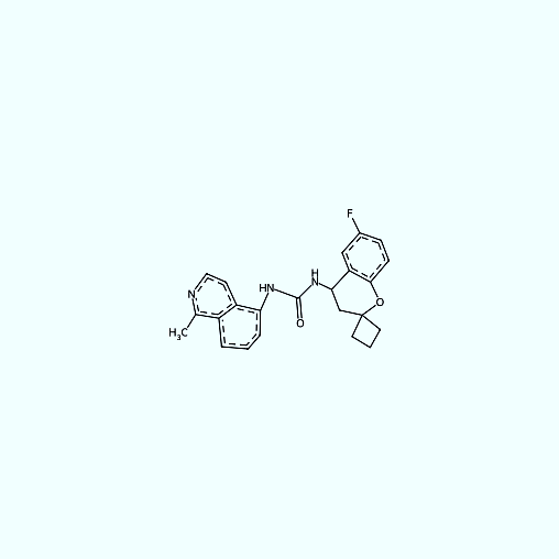 Cc1nccc2c(NC(=O)NC3CC4(CCC4)Oc4ccc(F)cc43)cccc12